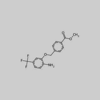 COC(=O)c1ccc(COc2cc(C(F)(F)F)ccc2N)cc1